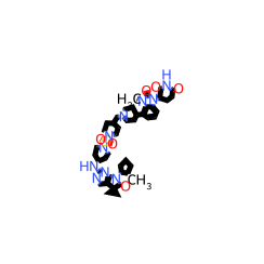 CC1CCCC1N1C(=O)C2(CC2)c2cnc(NC3CCN(S(=O)(=O)N4CCC(CN5CCC(c6cccc7c6n(C)c(=O)n7C6CCC(=O)NC6=O)CC5)CC4)CC3)nc21